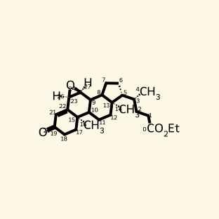 CCOC(=O)CC[C@@H](C)[C@H]1CCC2C3C(CC[C@@]21C)[C@@]1(C)CCC(=O)C=C1[C@H]1O[C@@H]31